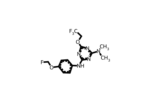 CN(C)c1nc(Nc2ccc(OCF)cc2)nc(OCC(F)(F)F)n1